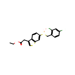 CCOC(=O)Cc1csc2cc([S+]([O-])Cc3ccc(Cl)cc3Cl)ccc12